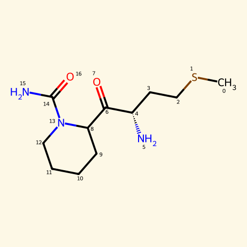 CSCC[C@H](N)C(=O)C1CCCCN1C(N)=O